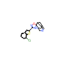 Clc1cccc2cc(C3=NOC4(N3)C3CC5CC4CN(C5)C3)sc12